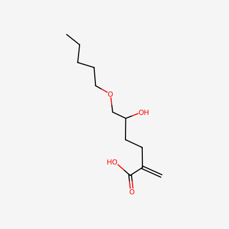 C=C(CCC(O)COCCCCC)C(=O)O